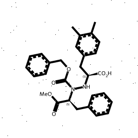 COC(=O)[C@H](Cc1ccccc1)N(N[C@@H](Cc1ccc(C)c(C)c1)C(=O)O)C(=O)OCc1ccccc1